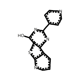 Oc1nc(-c2ccncc2)nc2c1sc1ncccc12